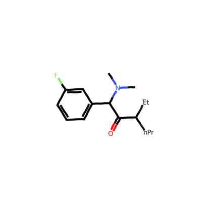 CCCC(CC)C(=O)C(c1cccc(F)c1)N(C)C